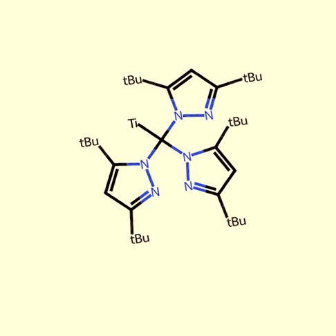 CC(C)(C)c1cc(C(C)(C)C)n([C]([Ti])(n2nc(C(C)(C)C)cc2C(C)(C)C)n2nc(C(C)(C)C)cc2C(C)(C)C)n1